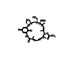 CO[C@H]1[C@@H](CO)C[C@H](C)[C@@H](CO)C2=CC(=O)C=C(NC(=O)/C(C)=C/C=C\[C@H](C)[C@@H](OC(N)=O)/C(C)=C/[C@@H]1C)C2=O